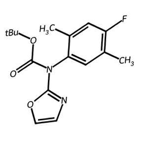 Cc1cc(N(C(=O)OC(C)(C)C)c2ncco2)c(C)cc1F